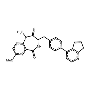 COc1ccc2c(c1)C(=O)NC(Cc1ccc(-c3ccnc4c3C=CC4)cc1)C(=O)N2C